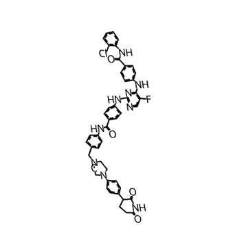 O=C1CCC(c2ccc(N3CCN(Cc4ccc(NC(=O)c5ccc(Nc6ncc(F)c(Nc7ccc(C(=O)Nc8ccccc8Cl)cc7)n6)cc5)cc4)CC3)cc2)C(=O)N1